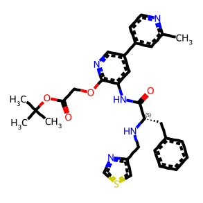 Cc1cc(-c2cnc(OCC(=O)OC(C)(C)C)c(NC(=O)[C@H](Cc3ccccc3)NCc3cscn3)c2)ccn1